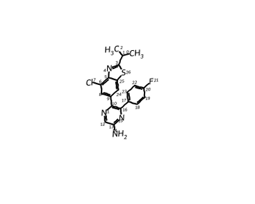 CC(C)c1nc2c(Cl)cc(-c3ncc(N)nc3-c3ccc(F)cc3)cc2s1